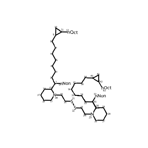 CCCCCCCCCC(CCCCCCCC1CC1CCCCCCCC)C1CCCCN1CCSSCCN1CCCCC1C(CCCCCCCCC)CCCCCCCC1CC1CCCCCCCC